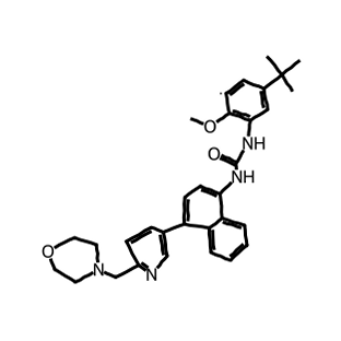 COc1[c]cc(C(C)(C)C)cc1NC(=O)Nc1ccc(-c2ccc(CN3CCOCC3)nc2)c2ccccc12